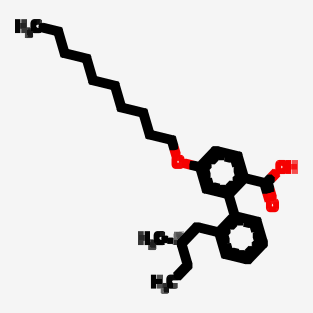 CCCCCCCCCCOc1ccc(C(=O)O)c(-c2ccccc2C[C@@H](C)CC)c1